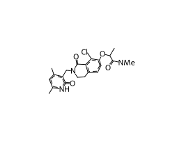 CNC(=O)C(C)Oc1ccc2c(c1Cl)C(=O)N(Cc1c(C)cc(C)[nH]c1=O)CC2